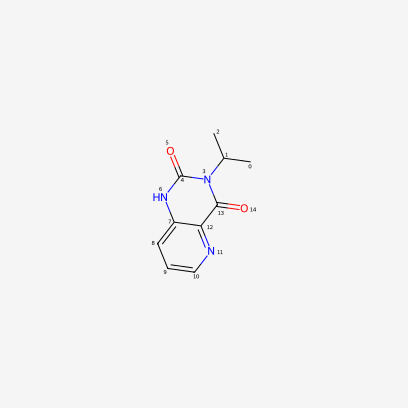 CC(C)n1c(=O)[nH]c2cccnc2c1=O